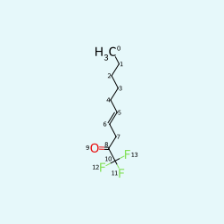 CCCCCC=CCC(=O)C(F)(F)F